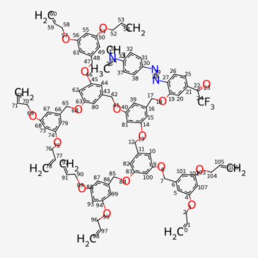 C=CCOc1cc(COc2cc(COc3cc(COc4cc(C(=O)C(F)(F)F)ccc4N=Nc4ccc(N(C)C)cc4)cc(OCc4cc(OCc5cc(OCC=C)cc(OCC=C)c5)cc(OCc5cc(OCC=C)cc(OCC=C)c5)c4)c3)cc(OCc3cc(OCC=C)cc(OCC=C)c3)c2)cc(OCC=C)c1